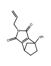 C=CCN1C(=O)C2=C(C1=O)C1(CCC)CCC2C1